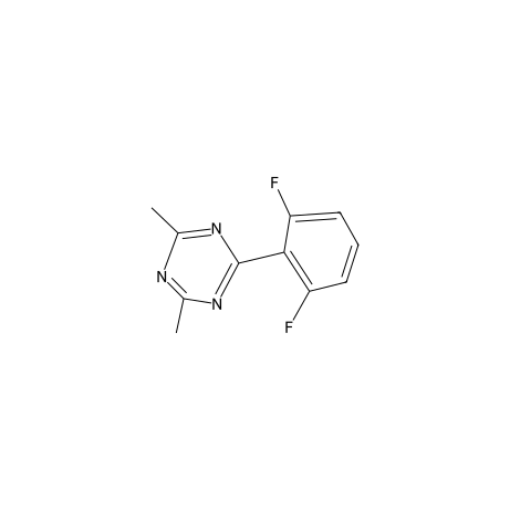 Cc1nc(C)nc(-c2c(F)cccc2F)n1